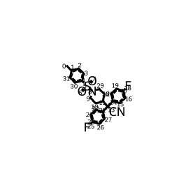 Cc1ccc(S(=O)(=O)N2CCC(C(C#N)(c3ccc(F)cc3)c3ccc(F)cc3)CC2)cc1